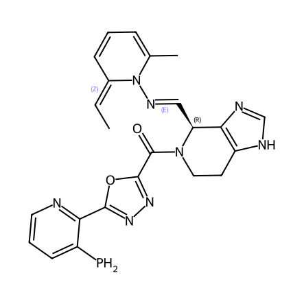 C/C=C1/C=CC=C(C)N1/N=C/[C@H]1c2nc[nH]c2CCN1C(=O)c1nnc(-c2ncccc2P)o1